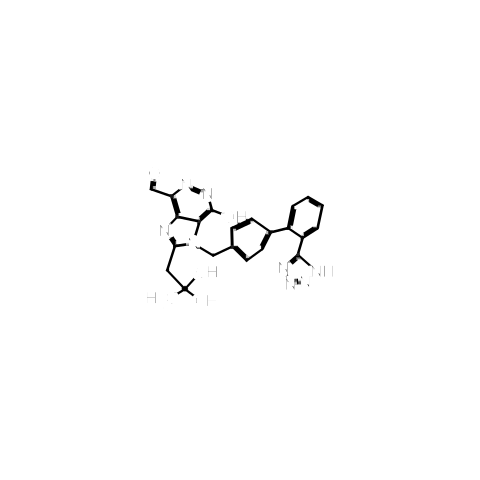 CC(C)(C)Cc1nc2c(C=O)nnc(O)c2n1Cc1ccc(-c2ccccc2-c2nnn[nH]2)cc1